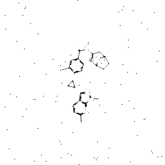 Cc1ccc2c([C@@H]3C[C@H]3c3ccc(C(=O)N(C)C4C[C@]5(C)CC[C@](C)(C4)N5)cc3Cl)nn(C)c2n1